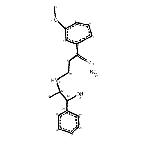 COc1cccc(C(=O)CCNC(C)C(O)c2ccccc2)c1.Cl